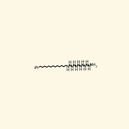 CC(C)CCCCCCCCCCCCCNNNNNNNNNNNN